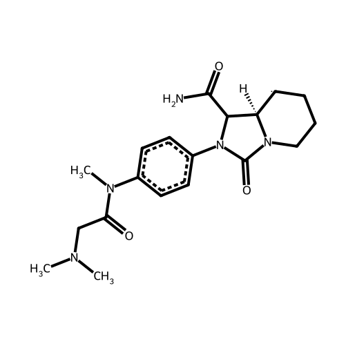 CN(C)CC(=O)N(C)c1ccc(N2C(=O)N3CCC[CH][C@@H]3C2C(N)=O)cc1